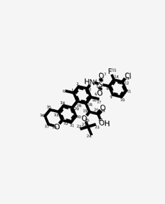 Cc1cc(NS(=O)(=O)c2cccc(Cl)c2F)c(C)c(C(OC(C)(C)C)C(=O)O)c1-c1ccc2c(c1)CCCO2